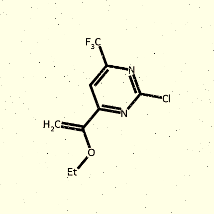 C=C(OCC)c1cc(C(F)(F)F)nc(Cl)n1